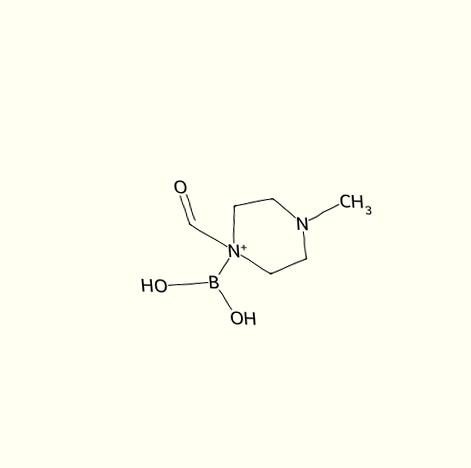 CN1CC[N+](C=O)(B(O)O)CC1